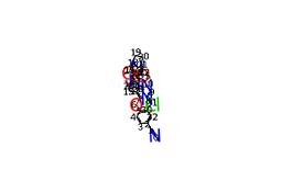 N#Cc1ccc(Oc2ncnc3c2ccn3C2CC3CCC(C2)N3S(=O)(=O)C2CC2)c(Cl)c1